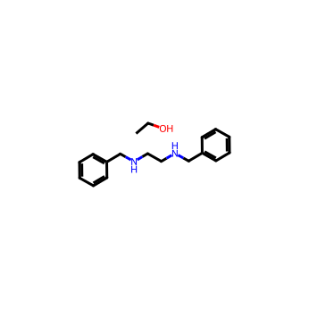 CCO.c1ccc(CNCCNCc2ccccc2)cc1